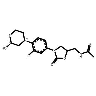 CC(=O)NCC1CN(c2ccc([C@@H]3CCS[C@H](O)C3)c(F)c2)C(=O)O1